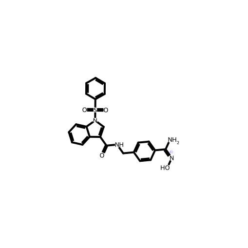 N/C(=N/O)c1ccc(CNC(=O)c2cn(S(=O)(=O)c3ccccc3)c3ccccc23)cc1